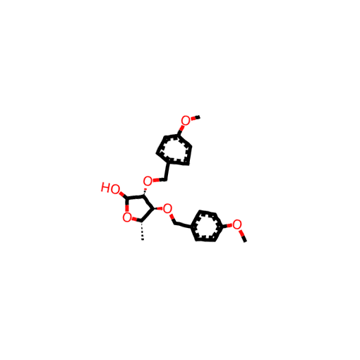 COc1ccc(CO[C@H]2[C@H](C)OC(O)[C@@H]2OCc2ccc(OC)cc2)cc1